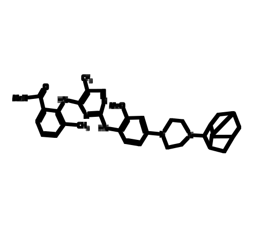 CNC(=O)c1cccc(C)c1Nc1nc(Nc2ccc(N3CCN(C4C5CC6CC(C5)CC4C6)CC3)cc2OC)ncc1C(F)(F)F